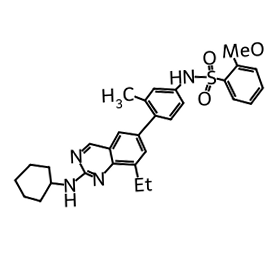 CCc1cc(-c2ccc(NS(=O)(=O)c3ccccc3OC)cc2C)cc2cnc(NC3CCCCC3)nc12